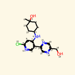 CC1(O)CCC(Nc2cc(Cl)ncc2-c2cnc(CO)cn2)CC1